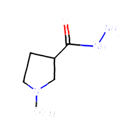 NNC(=O)C1CCN(C(=O)O)C1